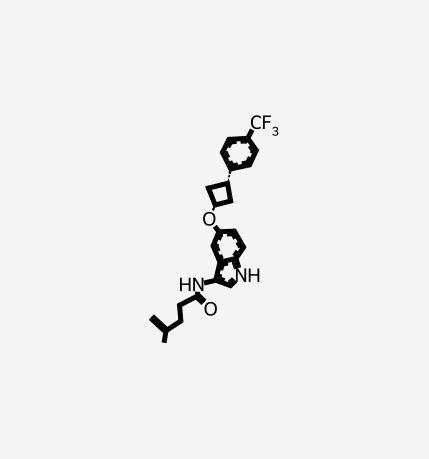 C=C(C)CCC(=O)Nc1c[nH]c2ccc(O[C@H]3C[C@@H](c4ccc(C(F)(F)F)cc4)C3)cc12